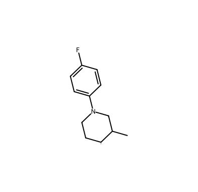 CC1[CH]CCN(c2ccc(F)cc2)C1